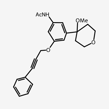 COC1(c2cc(NC(C)=O)cc(OCC#Cc3ccccc3)c2)CCOCC1